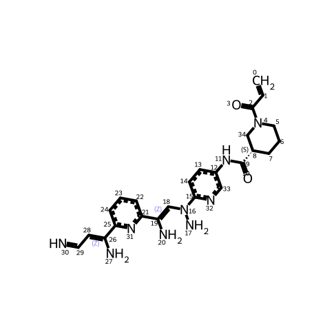 C=CC(=O)N1CCC[C@H](C(=O)Nc2ccc(N(N)/C=C(\N)c3cccc(/C(N)=C/C=N)n3)nc2)C1